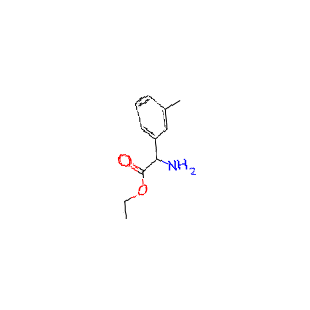 CCOC(=O)C(N)c1cccc(C)c1